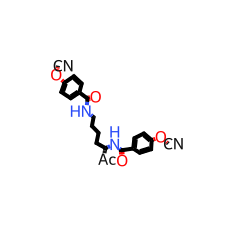 CC(=O)C(CCCCNC(=O)c1ccc(OC#N)cc1)NC(=O)c1ccc(OC#N)cc1